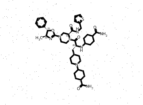 C[C@@H]1N=C(N2CCN(C(=O)[C@@H](CC3CCN(C4CCC(C(N)=O)CC4)CC3)NC3CCC(C(N)=O)CC3)[C@H](C(=O)NCc3cccs3)C2)O[C@H]1c1ccccc1